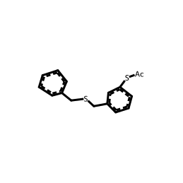 CC(=O)Sc1cccc(CSCc2ccccc2)c1